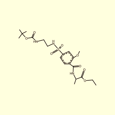 CCOC(=O)C(C)NC(=O)c1ccc(S(=O)(=O)NCCNC(=O)OC(C)(C)C)cc1OC